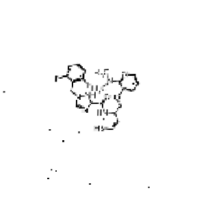 CN(C)c1ncccc1OC[C@@H](/C=C\S)NC(=O)C1N=CN(Cc2c(F)cccc2F)N1